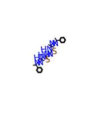 CC(/N=N/C(C)(C)NC(=S)NN(C)C(=S)NC(C)(C)/N=N/C(C)c1ccccc1)c1ccccc1